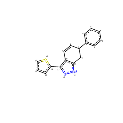 C1=CC(c2ccccc2)Cc2[nH]nc(-c3cccs3)c21